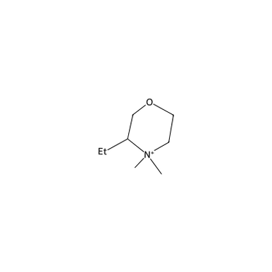 CCC1COCC[N+]1(C)C